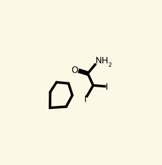 C1CCCCC1.NC(=O)C(I)I